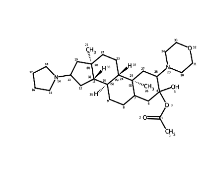 CC(=O)OC1(O)CC2CC[C@H]3[C@@H]4CC(N5CCCC5)C[C@@]4(C)CC[C@@H]3[C@@]2(C)CC1N1CCOCC1